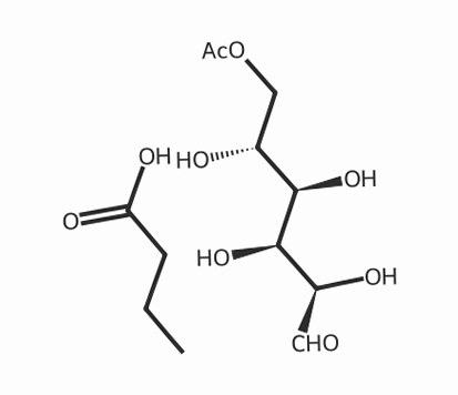 CC(=O)OC[C@@H](O)[C@@H](O)[C@H](O)[C@@H](O)C=O.CCCC(=O)O